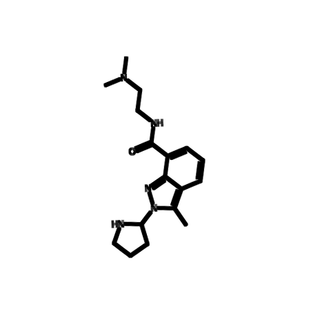 Cc1c2cccc(C(=O)NCCN(C)C)c2nn1C1CCCN1